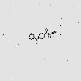 CCCCNC(=O)C1CCN(C(=O)c2ccccc2)CC1